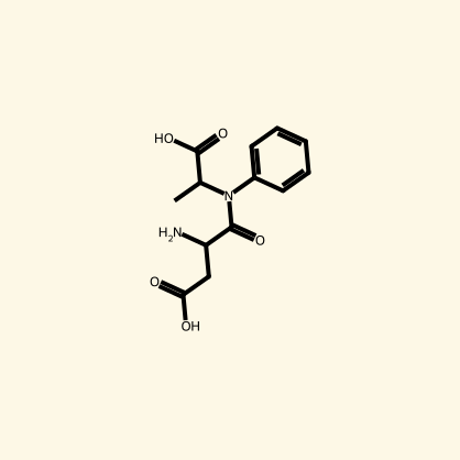 CC(C(=O)O)N(C(=O)C(N)CC(=O)O)c1ccccc1